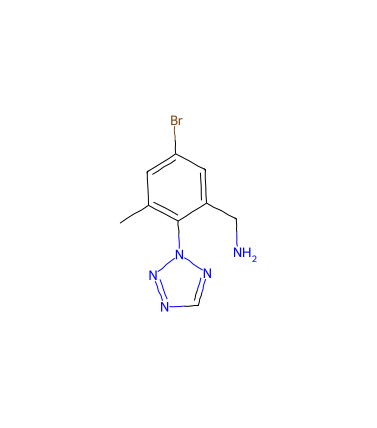 Cc1cc(Br)cc(CN)c1-n1ncnn1